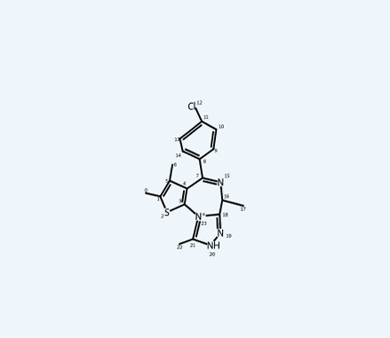 Cc1sc2c(c1C)C(c1ccc(Cl)cc1)=NC(C)c1n[nH]c(C)[n+]1-2